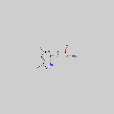 Cc1c[nH]c2c(C=CC(=O)OC(C)(C)C)cc(F)cc12